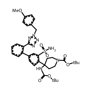 COc1ccc(Cn2nnc(-c3ccccc3-c3ccc(C4(NC(=O)OC(C)(C)C)CCN(C(=O)OC(C)(C)C)CC4)c(S(N)(=O)=O)c3)n2)cc1